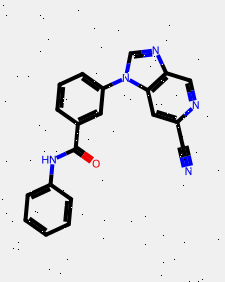 N#Cc1cc2c(cn1)ncn2-c1cccc(C(=O)Nc2ccccc2)c1